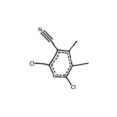 Cc1c(Cl)nc(Cl)c(C#N)c1C